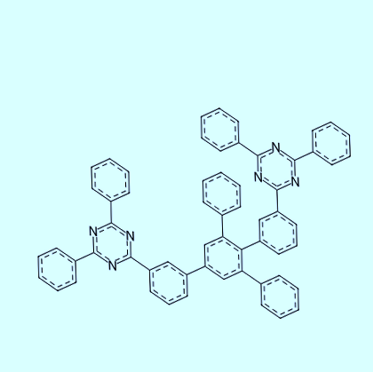 c1ccc(-c2nc(-c3ccccc3)nc(-c3cccc(-c4cc(-c5ccccc5)c(-c5cccc(-c6nc(-c7ccccc7)nc(-c7ccccc7)n6)c5)c(-c5ccccc5)c4)c3)n2)cc1